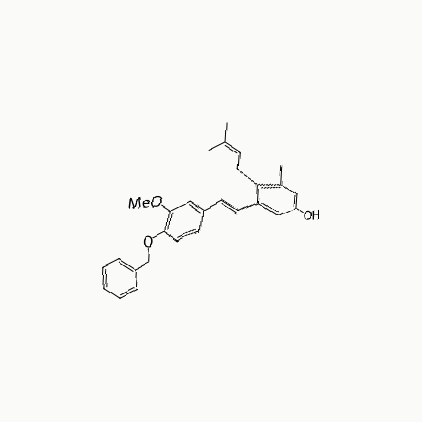 COc1cc(/C=C/c2cc(O)cc(C)c2CC=C(C)C)ccc1OCc1ccccc1